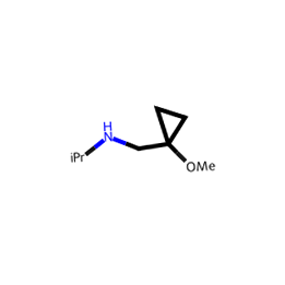 COC1(CNC(C)C)CC1